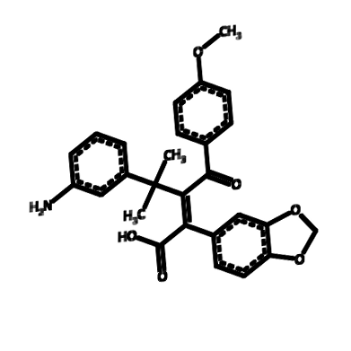 COc1ccc(C(=O)C(=C(C(=O)O)c2ccc3c(c2)OCO3)C(C)(C)c2cccc(N)c2)cc1